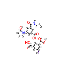 CCCN(C)C(=O)c1cc(C(=O)O)cc(N2CCCC2=O)c1.COC(=O)c1cc(I)cc(C(=O)O)c1